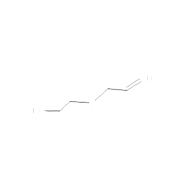 C=CCSC[CH]O